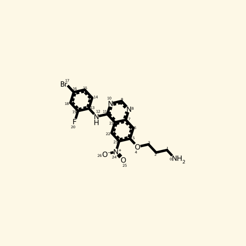 NCCCOc1cc2ncnc(Nc3ccc(Br)cc3F)c2cc1[N+](=O)[O-]